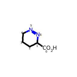 O=C(O)C1CCCN=N1